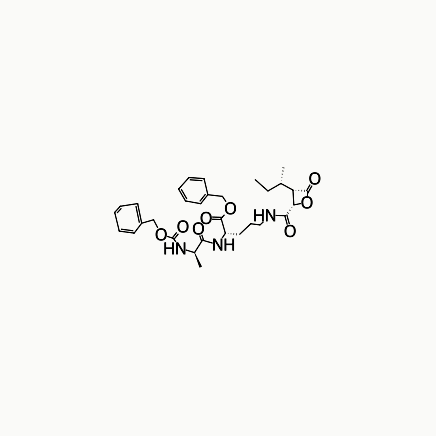 CC[C@H](C)[C@@H]1C(=O)O[C@@H]1C(=O)NCCC[C@H](NC(=O)[C@@H](C)NC(=O)OCc1ccccc1)C(=O)OCc1ccccc1